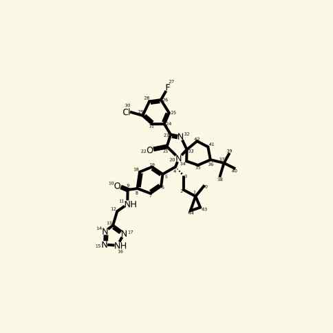 CC1(CC[C@H](c2ccc(C(=O)NCc3nn[nH]n3)cc2)N2C(=O)C(c3cc(F)cc(Cl)c3)=NC23CCC(C(C)(C)C)CC3)CC1